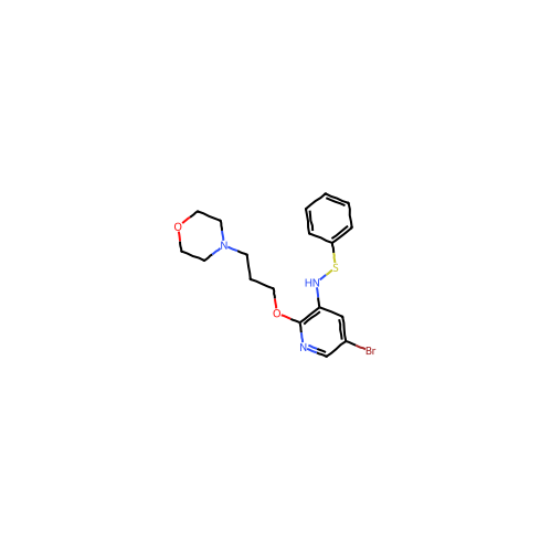 Brc1cnc(OCCCN2CCOCC2)c(NSc2ccccc2)c1